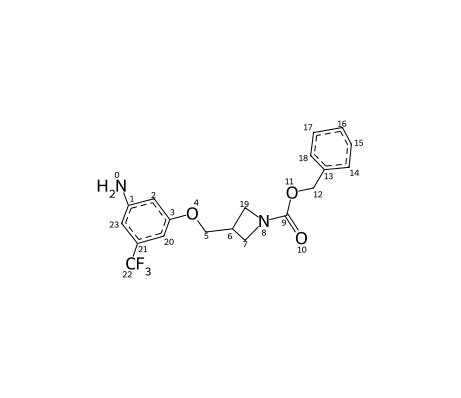 Nc1cc(OCC2CN(C(=O)OCc3ccccc3)C2)cc(C(F)(F)F)c1